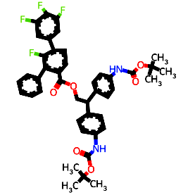 CC(C)(C)OC(=O)Nc1ccc(C(COC(=O)c2ccc(-c3cc(F)c(F)c(F)c3)c(F)c2-c2ccccc2)c2ccc(NC(=O)OC(C)(C)C)cc2)cc1